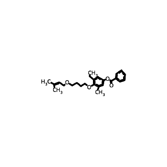 CCc1cc(OC(=O)c2ccccc2)cc(C)c1OCCCCOCC=C(C)C